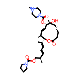 C/C(=C\C=C\[C@@H](C)COC(=O)N1CCCC1)[C@H]1OC(=O)CCCC[C@@](C)(O)[C@@H](OC(=O)N2CCN(C)CC2)/C=C/[C@@H]1C